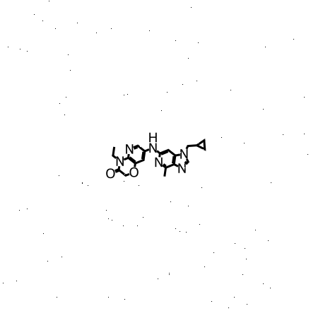 CCN1C(=O)COc2cc(Nc3cc4c(ncn4CC4CC4)c(C)n3)cnc21